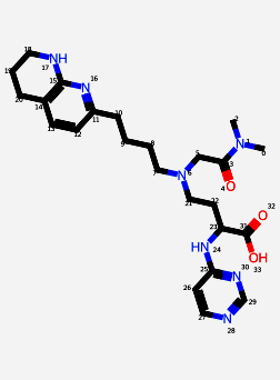 CN(C)C(=O)CN(CCCCc1ccc2c(n1)NCCC2)CCC(Nc1ccncn1)C(=O)O